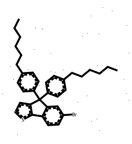 CCCCCCc1ccc(C2(c3ccc(CCCCCC)cc3)c3cc(Br)ccc3-c3sccc32)cc1